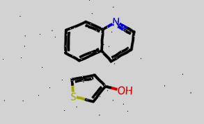 Oc1ccsc1.c1ccc2ncccc2c1